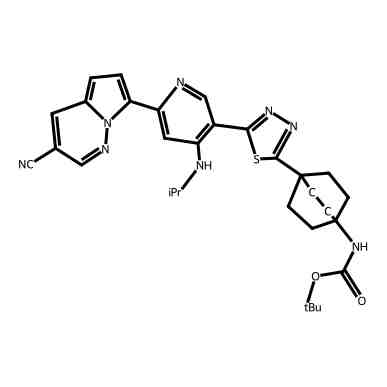 CC(C)Nc1cc(-c2ccc3cc(C#N)cnn23)ncc1-c1nnc(C23CCC(NC(=O)OC(C)(C)C)(CC2)CC3)s1